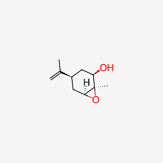 C=C(C)[C@H]1C[C@@H](O)[C@@]2(C)O[C@H]2C1